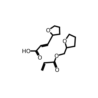 C=CC(=O)OCC1CCCO1.O=C(O)C=CC1CCCO1